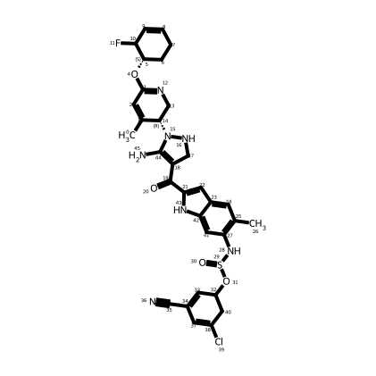 CC1=CC(O[C@H]2CCC=CC2F)=NC[C@@H]1N1NCC(C(=O)c2cc3cc(C)c(NS(=O)OC4C=C(C#N)C=C(Cl)C4)cc3[nH]2)=C1N